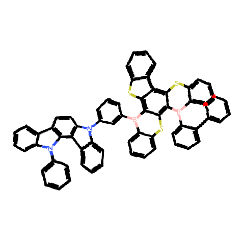 c1ccc(-c2ccccc2B2c3ccccc3Sc3c2c2c(c4sc5ccccc5c34)B(c3cccc(-n4c5ccccc5c5c4ccc4c6ccccc6n(-c6ccccc6)c45)c3)c3ccccc3S2)cc1